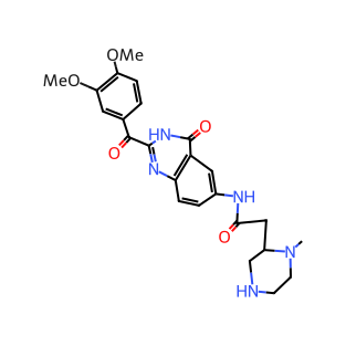 COc1ccc(C(=O)c2nc3ccc(NC(=O)CC4CNCCN4C)cc3c(=O)[nH]2)cc1OC